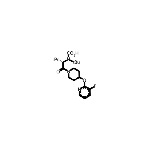 CC(C)[C@@H](C(=O)N1CCC(Oc2ncccc2F)CC1)N(C(=O)O)C(C)(C)C